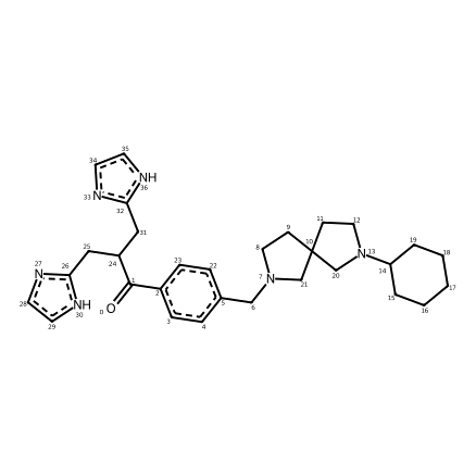 O=C(c1ccc(CN2CCC3(CCN(C4CCCCC4)C3)C2)cc1)C(Cc1ncc[nH]1)Cc1ncc[nH]1